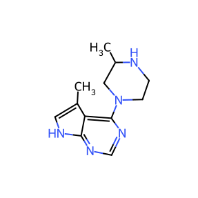 Cc1c[nH]c2ncnc(N3CCNC(C)C3)c12